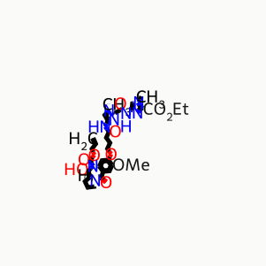 C=CCOC(=O)N1c2cc(OCCCC(=O)Nc3cn(C)c(C(=O)Nc4cn(C)c(C(=O)OCC)n4)n3)c(OC)cc2C(=O)N2CCC[C@H]2C1O